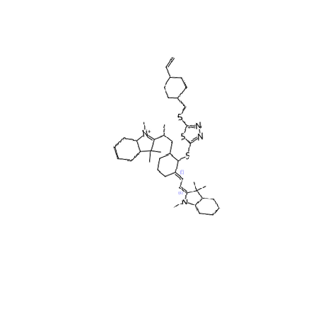 C=CC1CCC(CSc2nnc(SC3/C(=C/C=C4/N(C)C5CCCCC5C4(C)C)CCCC3CC(C)C3=[N+](C)C4CCCCC4C3(C)C)s2)CC1